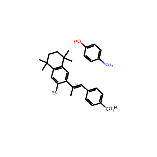 CCc1cc2c(cc1/C(C)=C/c1ccc(C(=O)O)cc1)C(C)(C)CCC2(C)C.Nc1ccc(O)cc1